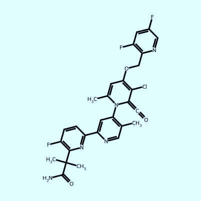 CC1=CC(OCc2ncc(F)cc2F)=C(Cl)C(=C=O)N1c1cc(-c2ccc(F)c(C(C)(C)C(N)=O)n2)ncc1C